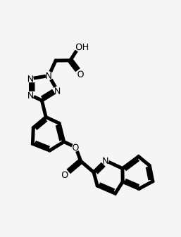 O=C(O)Cn1nnc(-c2cccc(OC(=O)c3ccc4ccccc4n3)c2)n1